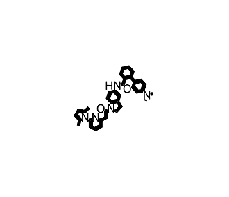 Cc1ccc(C)n1-c1cccc(CC(=O)N2CCc3cc(NC(=O)C4=C(c5ccc(N(C)C)cc5)CCCC4)ccc32)n1